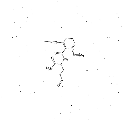 CC#Cc1cccc(N=N)c1C(=O)NC(CCC=O)C(N)=O